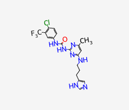 Cc1cc(NCCCc2cnc[nH]2)nc(NC(=O)Nc2ccc(Cl)c(C(F)(F)F)c2)n1